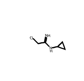 N=C(CCl)NC1CC1